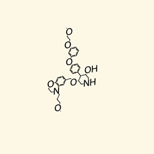 COCCCN1CCOc2ccc(CO[C@H]3CNC[C@@H](O)C3c3ccc(Oc4cccc(OCCOC)c4)cc3)cc21